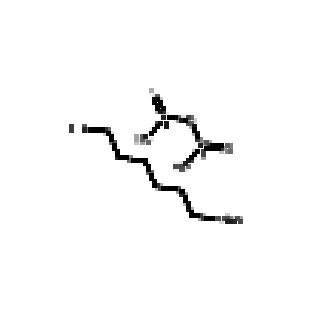 CCCCCCCCCCCCCCCO.O=[PH](O)O[PH](=O)O